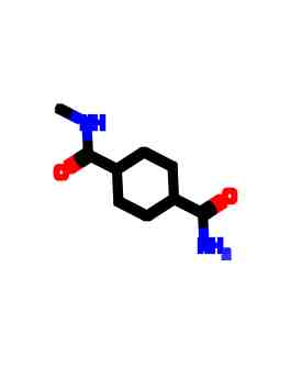 CNC(=O)C1CCC(C(N)=O)CC1